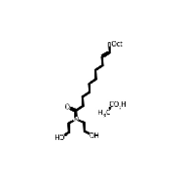 CC(=O)O.CCCCCCCCC=CCCCCCCCC(=O)N(CCO)CCO